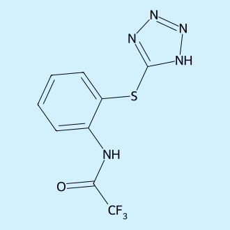 O=C(Nc1ccccc1Sc1nnn[nH]1)C(F)(F)F